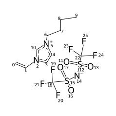 C=Cn1cc[n+](CCCC)c1.O=S(=O)([N-]S(=O)(=O)C(F)(F)F)C(F)(F)F